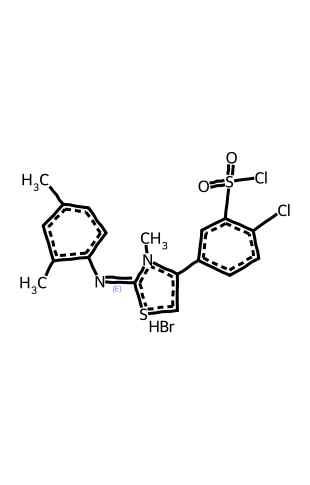 Br.Cc1ccc(/N=c2/scc(-c3ccc(Cl)c(S(=O)(=O)Cl)c3)n2C)c(C)c1